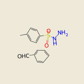 Cc1ccc(S(=O)(=O)NN)cc1.O=Cc1ccccc1